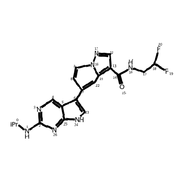 CC(C)Nc1ncc2c(-c3ccn4ncc(C(=O)NCC(F)F)c4c3)c[nH]c2n1